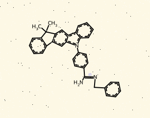 CC1(C)c2ccccc2-c2cc3c(cc21)c1ccccc1n3-c1ccc(/C(N)=N/Cc2ccccc2)cc1